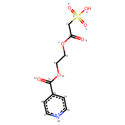 O=C(CS(=O)(=O)O)OCCOC(=O)c1ccncc1